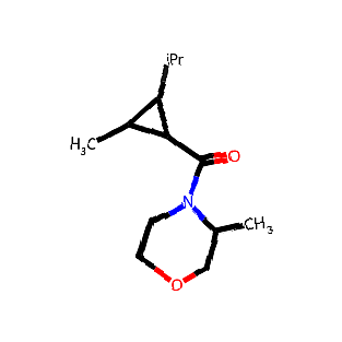 CC(C)C1C(C)C1C(=O)N1CCOCC1C